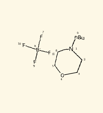 CCCCN1CCOCC1.F[B-](F)(F)F